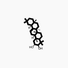 CC1(C)CC[C@]2(C)CC[C@]3(C)C(=CC[C@@H]4[C@@]5(C)C[C@@H](O)[C@H](O)C(C)(C)C5CC[C@]43C)[C@H]2C1